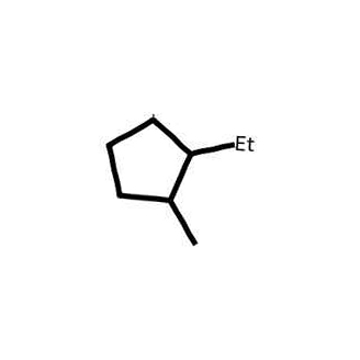 CCC1[CH]CCC1C